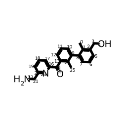 Cc1c(CO)cccc1-c1cccc(C(=O)c2cccc(CN)n2)c1C